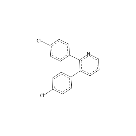 Clc1ccc(-c2cccnc2-c2ccc(Cl)cc2)cc1